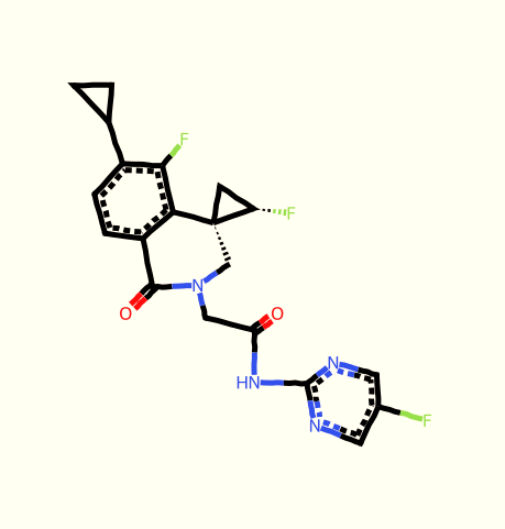 O=C(CN1C[C@@]2(C[C@@H]2F)c2c(ccc(C3CC3)c2F)C1=O)Nc1ncc(F)cn1